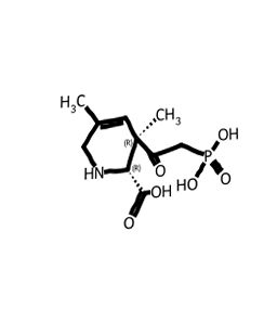 CC1=C[C@@](C)(C(=O)CP(=O)(O)O)[C@H](C(=O)O)NC1